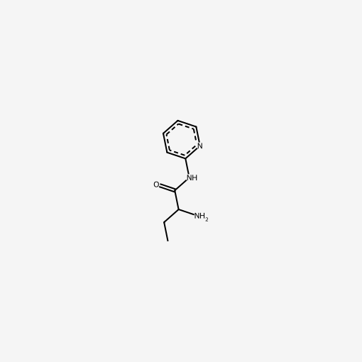 CCC(N)C(=O)Nc1ccccn1